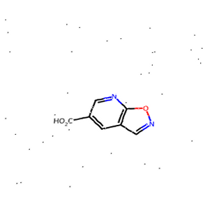 O=C(O)c1cnc2oncc2c1